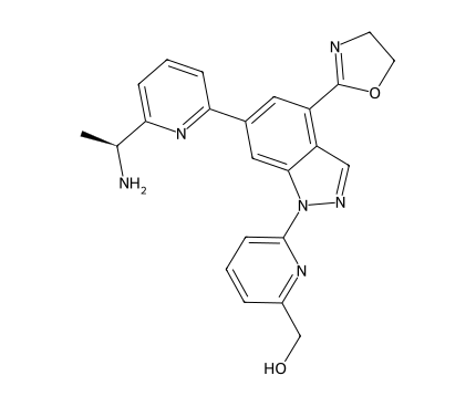 C[C@H](N)c1cccc(-c2cc(C3=NCCO3)c3cnn(-c4cccc(CO)n4)c3c2)n1